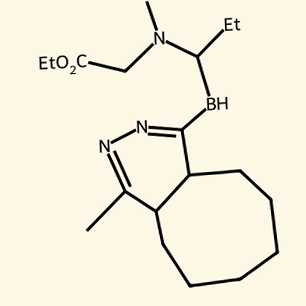 CCOC(=O)CN(C)C(BC1=NN=C(C)C2CCCCCCC12)CC